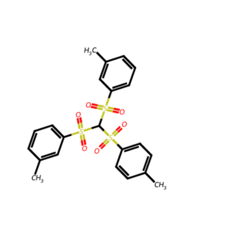 Cc1ccc(S(=O)(=O)C(S(=O)(=O)c2cccc(C)c2)S(=O)(=O)c2cccc(C)c2)cc1